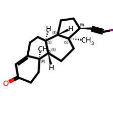 C[C@]12CC[C@H]3[C@@H](CCC4=CC(=O)CC[C@@]43C)[C@@H]1CC[C@H]2C#CI